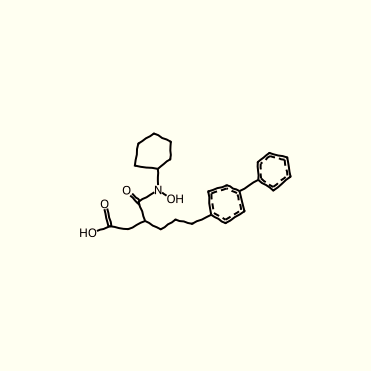 O=C(O)CC(CCCc1ccc(-c2ccccc2)cc1)C(=O)N(O)C1CCCCC1